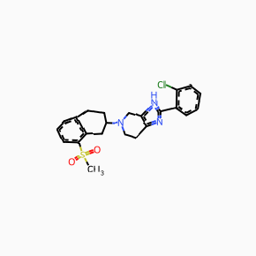 CS(=O)(=O)c1cccc2c1CC(N1CCc3nc(-c4ccccc4Cl)[nH]c3C1)CC2